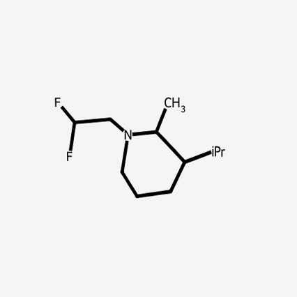 CC(C)C1CCCN(CC(F)F)C1C